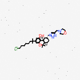 CC(C)(CCCCCCCl)c1cc(O)c2c(c1)OC(C)(C)[C@@H]1CC[C@@H](Cn3cc(CN4CCOCC4)nn3)C[C@@H]21